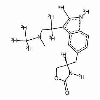 [2H]c1c(C([2H])([2H])CN(C)C([2H])([2H])[2H])c2cc(C[C@@]3([2H])COC(=O)N3[2H])ccc2n1[2H]